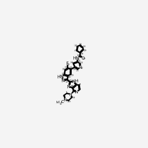 CN1CCN(c2nccc3[nH]c(-c4n[nH]c5cc(F)c(-c6cncc(NC(=O)c7ccccc7)c6)cc45)nc23)CC1